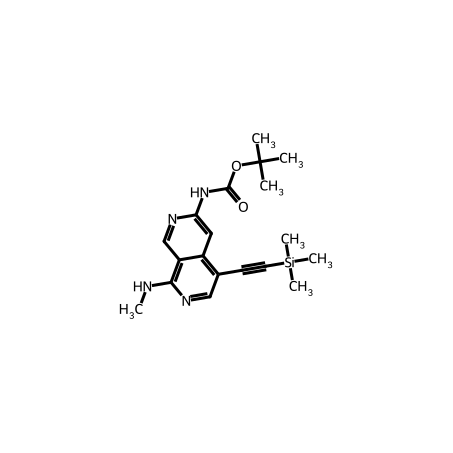 CNc1ncc(C#C[Si](C)(C)C)c2cc(NC(=O)OC(C)(C)C)ncc12